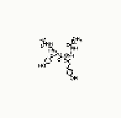 CN(C)C(=O)NCCNCC(COc1ccc(O)cc1)OC(=O)C(=O)OC(CNCCNC(=O)N(C)C)COc1ccc(O)cc1.O